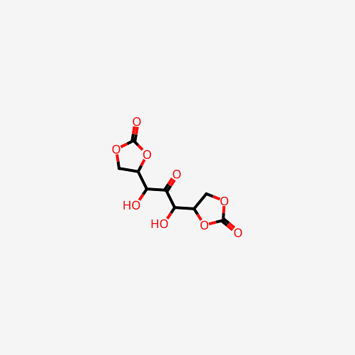 O=C1OCC(C(O)C(=O)C(O)C2COC(=O)O2)O1